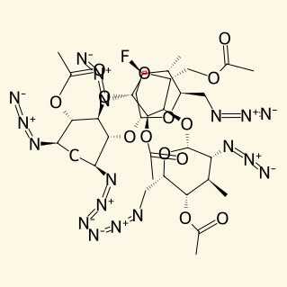 CC(=O)OC[C@H]1O[C@@H](O[C@@H]2[C@@H](OC(C)=O)[C@H](N=[N+]=[N-])C[C@H](N=[N+]=[N-])[C@H]2O[C@H]2O[C@H](CN=[N+]=[N-])[C@@H](C)[C@H](F)[C@H]2N=[N+]=[N-])[C@H](OC(C)=O)[C@@H]1O[C@H]1O[C@@H](CN=[N+]=[N-])[C@@H](OC(C)=O)[C@H](C)[C@H]1N=[N+]=[N-]